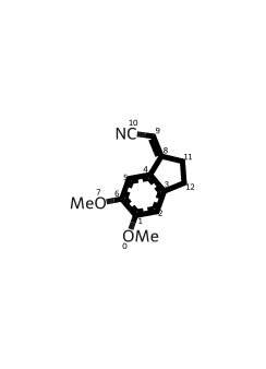 COc1cc2c(cc1OC)/C(=C\C#N)CC2